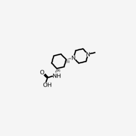 CN1CCN([C@H]2CCC[C@@H](NC(=O)O)C2)CC1